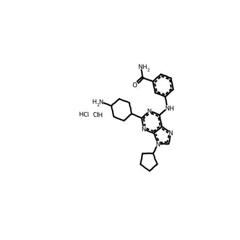 Cl.Cl.NC(=O)c1cccc(Nc2nc(C3CCC(N)CC3)nc3c2ncn3C2CCCC2)c1